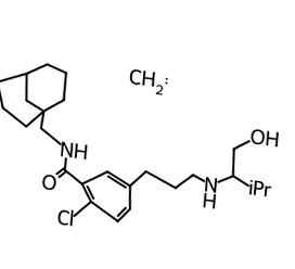 CC(C)C(CO)NCCCc1ccc(Cl)c(C(=O)NCC23CCCC(CCC2)C3)c1.[CH2]